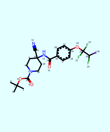 CC(C)(C)OC(=O)N1CCC(C#N)(NC(=O)c2ccc(OC(F)(F)C(F)I)cc2)CC1